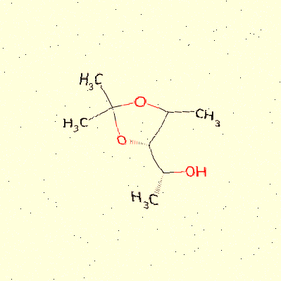 CC1OC(C)(C)O[C@H]1[C@@H](C)O